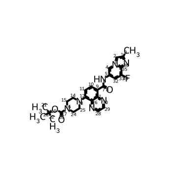 Cc1cn2cc(NC(=O)c3ccc(N4CCN(C(=O)OC(C)(C)C)CC4)c4nccnc34)cc(F)c2n1